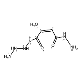 NNNNC(=O)/C=C\C(=O)NN.O